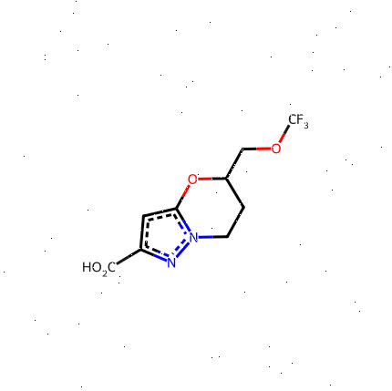 O=C(O)c1cc2n(n1)CCC(COC(F)(F)F)O2